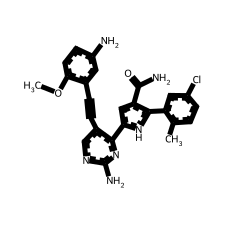 COc1ccc(N)cc1C#Cc1cnc(N)nc1-c1cc(C(N)=O)c(-c2cc(Cl)ccc2C)[nH]1